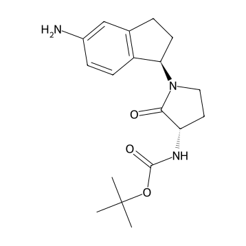 CC(C)(C)OC(=O)N[C@H]1CCN([C@@H]2CCc3cc(N)ccc32)C1=O